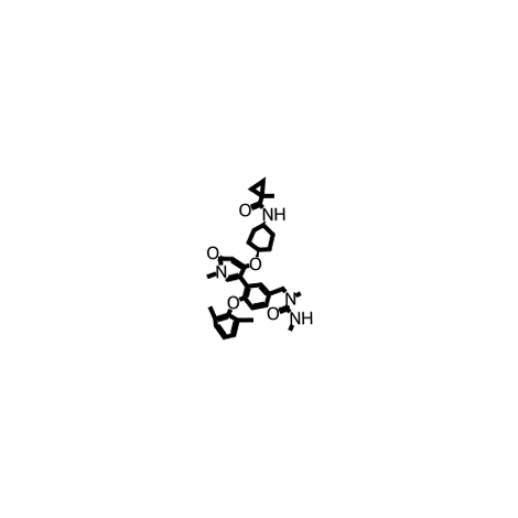 CNC(=O)N(C)Cc1ccc(Oc2c(C)cccc2C)c(-c2cn(C)c(=O)cc2O[C@H]2CC[C@H](NC(=O)C3(C)CC3)CC2)c1